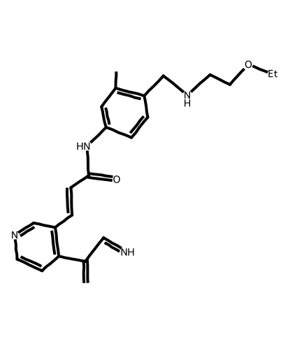 C=C(C=N)c1ccncc1/C=C/C(=O)Nc1ccc(CNCCOCC)c(C)c1